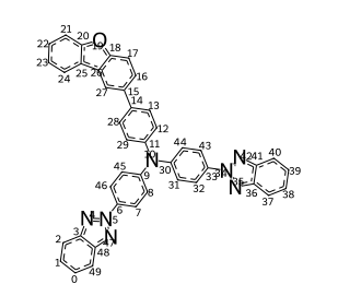 c1ccc2nn(-c3ccc(N(c4ccc(-c5ccc6oc7ccccc7c6c5)cc4)c4ccc(-n5nc6ccccc6n5)cc4)cc3)nc2c1